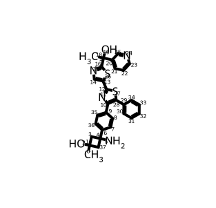 CC1(O)CC(N)(c2ccc(-c3nc(-c4cnc(C(C)(O)c5cccnc5)s4)sc3-c3ccccc3)cc2)C1